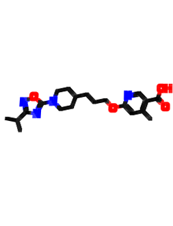 Cc1cc(OCCCC2CCN(c3nc(C(C)C)no3)CC2)ncc1C(=O)O